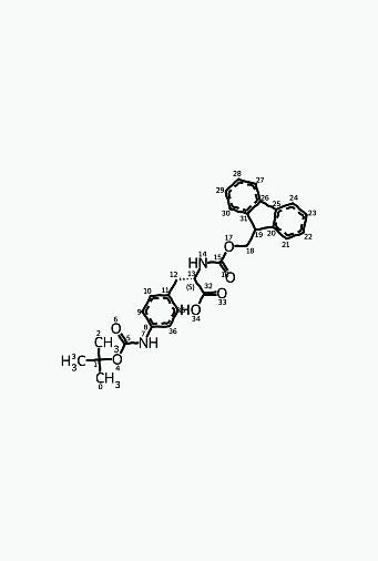 CC(C)(C)OC(=O)Nc1ccc(C[C@H](NC(=O)OCC2c3ccccc3-c3ccccc32)C(=O)O)cc1